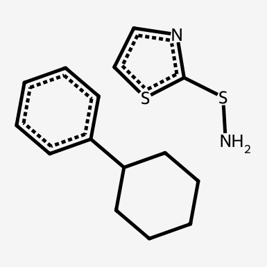 NSc1nccs1.c1ccc(C2CCCCC2)cc1